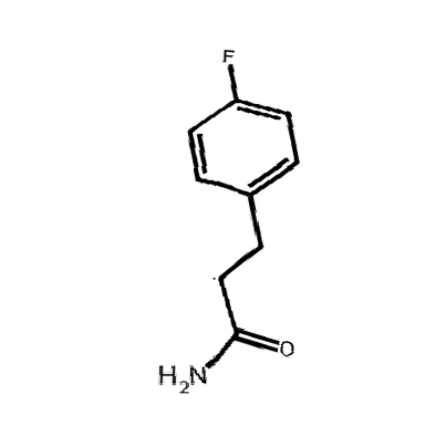 NC(=O)[CH]Cc1ccc(F)cc1